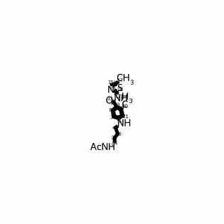 CC(=O)NCCCCNc1ccc(C(=O)Nc2ncc(C)s2)c(C)c1